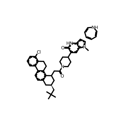 C1=CC=CNC=C1.Cn1ccc2[nH]c(=O)c(C3CCN(C(=O)CC4C[C@@H](CC(C)(C)C)Cc5ccc6c(c54)CCc4c(Cl)cccc4-6)CC3)cc21